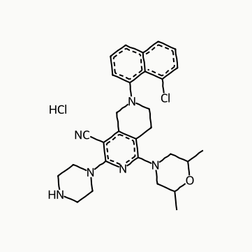 CC1CN(c2nc(N3CCNCC3)c(C#N)c3c2CCN(c2cccc4cccc(Cl)c24)C3)CC(C)O1.Cl